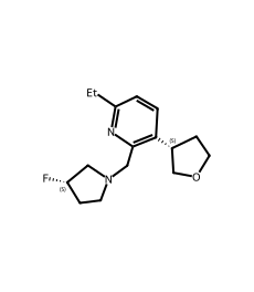 CCc1ccc([C@@H]2CCOC2)c(CN2CC[C@H](F)C2)n1